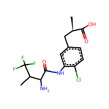 CC(C(N)C(=O)Nc1cc(C[C@@H](C)C(=O)O)ccc1Cl)C(F)(F)F